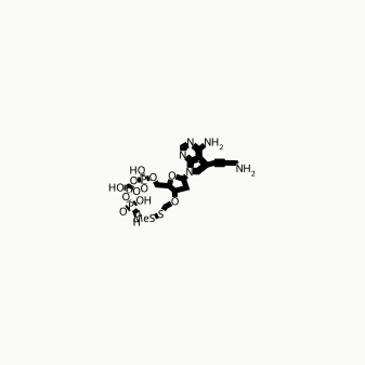 CSSCOC1CC(n2cc(C#CCN)c3c(N)ncnc32)OC1COP(=O)(O)OP(=O)(O)OP(=O)(O)O